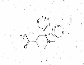 CN1CCC(C(N)=O)CC1(c1ccccc1)c1ccccc1